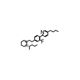 CCCCc1ccc(-c2ccc(CC[C@@H]3CCCC[C@H]3C(C)CCC)cc2F)nc1